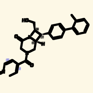 C=N/C=C\C(=C/C)C(=O)N1CC(=O)N2[C@H](C1)[C@@H](c1ccc(-c3ccccc3C)cc1)[C@@H]2CO